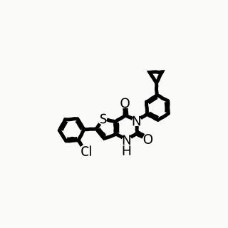 O=c1[nH]c2cc(-c3ccccc3Cl)sc2c(=O)n1-c1cccc(C2CC2)c1